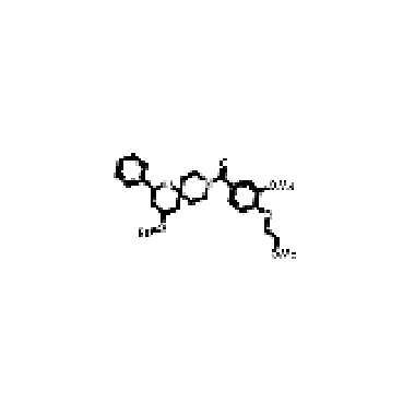 CCOC1CC(c2ccccc2)OC2(CCN(C(=O)c3ccc(OCCOC)c(OC)c3)CC2)C1